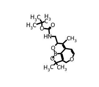 CC1=C2C=COCC3=C2B(OC1CNC(=O)OC(C)(C)C)OC3(C)C